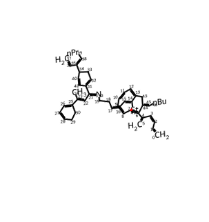 C=C/C=C\C(=C)/C1=C\C=C/C=C\C=C(/C(=C/C=C\CC/N=C(\C=C(/C)C2=CC=CCC2)C2=CCC(/C(C=C)=C/CCC)C=C2)CC)C\C1=C/CCCC